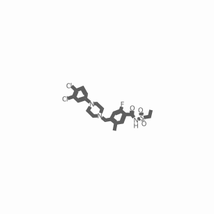 CCS(=O)(=O)NC(=O)c1cc(C)c(CN2CCN(c3ccc(Cl)c(Cl)c3)CC2)cc1F